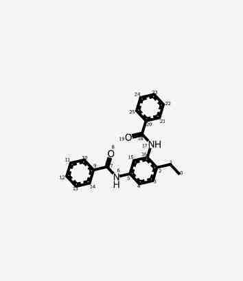 CCc1ccc(NC(=O)c2ccccc2)cc1NC(=O)c1ccccc1